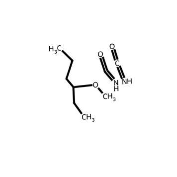 CCCC(CC)OC.N=C=O.N=C=O